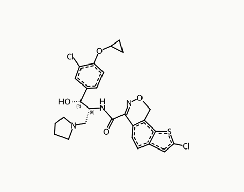 O=C(N[C@H](CN1CCCC1)[C@H](O)c1ccc(OC2CC2)c(Cl)c1)C1=NOCc2c1ccc1cc(Cl)sc21